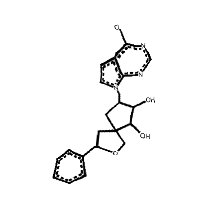 OC1C(n2ccc3c(Cl)ncnc32)CC2(COC(c3ccccc3)C2)C1O